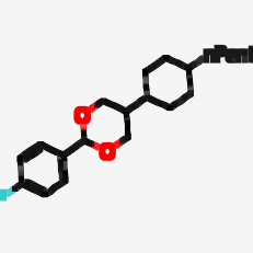 CCCCCC1CCC(C2COC(c3ccc(F)cc3)OC2)CC1